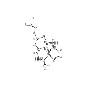 CN(C)CCN1CC2=NNC(O)c3cccc4[nH]c(c2c34)C1